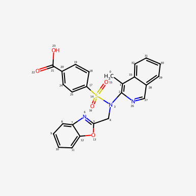 Cc1c(N(Cc2nc3ccccc3o2)S(=O)(=O)c2ccc(C(=O)O)cc2)ncc2ccccc12